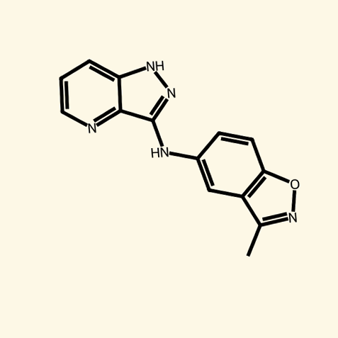 Cc1noc2ccc(Nc3n[nH]c4cccnc34)cc12